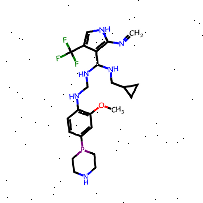 C=Nc1[nH]cc(C(F)(F)F)c1C(NCNc1ccc(P2CCNCC2)cc1OC)NCC1CC1